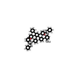 CC(C)(C)c1ccc2c(sc3nc4ccccc4n32)c1-c1cccc(-c2c(-c3ccccc3)cc(-c3ccccc3)c(-c3ccccc3)c2-c2cccc(-n3c4ccccc4n4c5ccccc5nc34)c2)c1